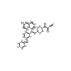 C#CC(=O)N[C@H]1CC[C@@H](/C=C\c2ncnc(N)c2/C(=N\C)c2ccc(Oc3ccccc3)cc2)CC1